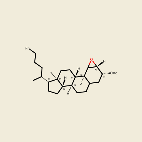 CC(=O)O[C@@H]1CC2CC[C@@H]3[C@H](CC[C@]4(C)[C@@H](C(C)CCCC(C)C)CC[C@@H]34)[C@@]2(C)C2O[C@@H]21